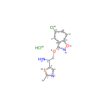 Cc1ncc(C(N)COc2noc3ccc(Cl)cc23)s1.Cl